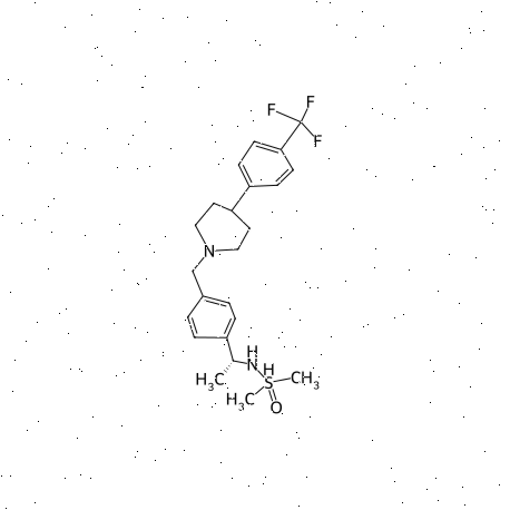 C[C@@H](N[SH](C)(C)=O)c1ccc(CN2CCC(c3ccc(C(F)(F)F)cc3)CC2)cc1